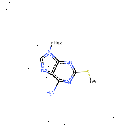 CCCCCCn1cnc2c(N)nc(SCCC)nc21